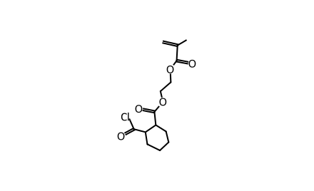 C=C(C)C(=O)OCCOC(=O)C1CCCCC1C(=O)Cl